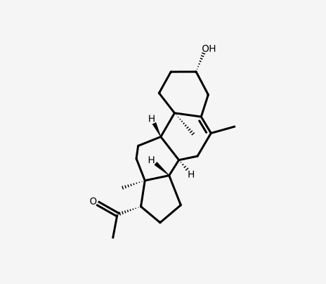 CC(=O)[C@H]1CC[C@H]2[C@@H]3CC(C)=C4C[C@@H](O)CC[C@]4(C)[C@H]3CC[C@]12C